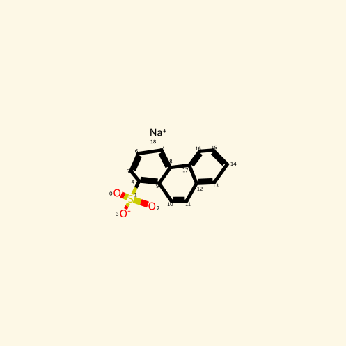 O=S(=O)([O-])c1cccc2c1ccc1ccccc12.[Na+]